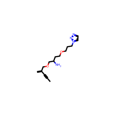 C=C(C#CC)COCC(N)CCOCCCn1ccnn1